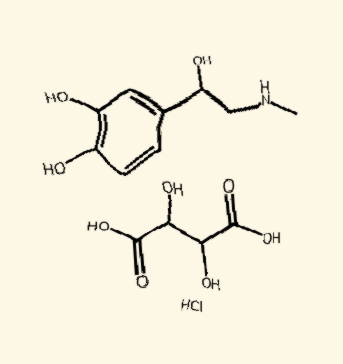 CNCC(O)c1ccc(O)c(O)c1.Cl.O=C(O)C(O)C(O)C(=O)O